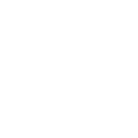 COc1c(Nc2cc(Cl)nnc2C(=O)[O][Zn])cccc1-c1ncn(C)n1